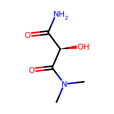 CN(C)C(=O)[C@H](O)C(N)=O